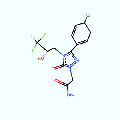 NC(=O)Cn1nc(C2=CCC(Cl)C=C2)n(C[C@H](O)C(F)(F)F)c1=O